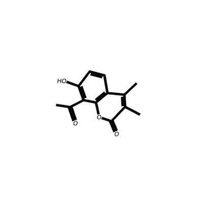 CC(=O)c1c(O)ccc2c(C)c(C)c(=O)oc12